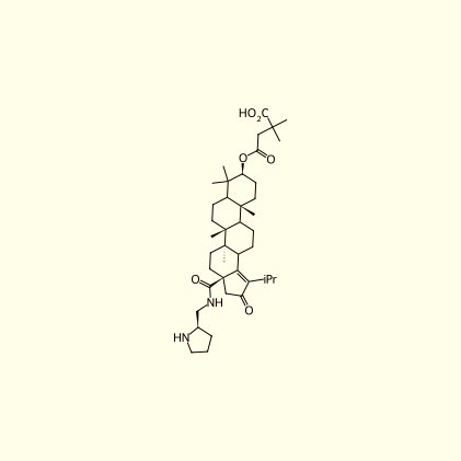 CC(C)C1=C2C3CCC4[C@@]5(C)CC[C@H](OC(=O)CC(C)(C)C(=O)O)C(C)(C)C5CC[C@@]4(C)[C@]3(C)CC[C@@]2(C(=O)NC[C@H]2CCCN2)CC1=O